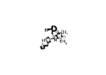 Cn1c(=O)c2c(nc(N3CCN[C@H](Cc4cccs4)C3)n2Cc2ccccc2C#N)n(C)c1=O